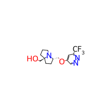 OC[C@@]12CCCN1[C@H](COc1cnnc(C(F)(F)F)c1)CC2